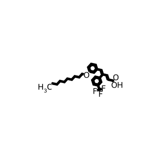 CCCCCCCCCCOc1cccc(C=C(C=CC(=O)O)c2cccc(C(F)(F)F)c2)c1